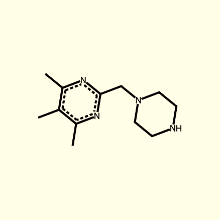 Cc1nc(CN2CCNCC2)nc(C)c1C